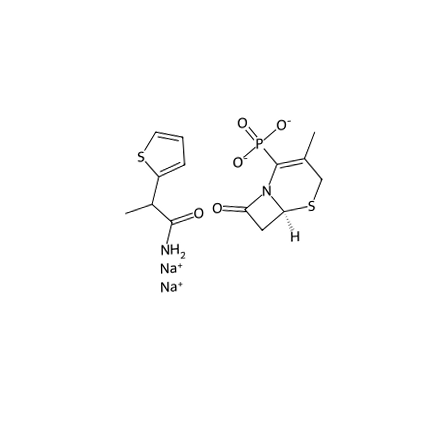 CC(C(N)=O)c1cccs1.CC1=C(P(=O)([O-])[O-])N2C(=O)C[C@@H]2SC1.[Na+].[Na+]